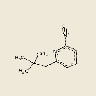 [C-]#[N+]c1cccc(CC(C)(C)C)n1